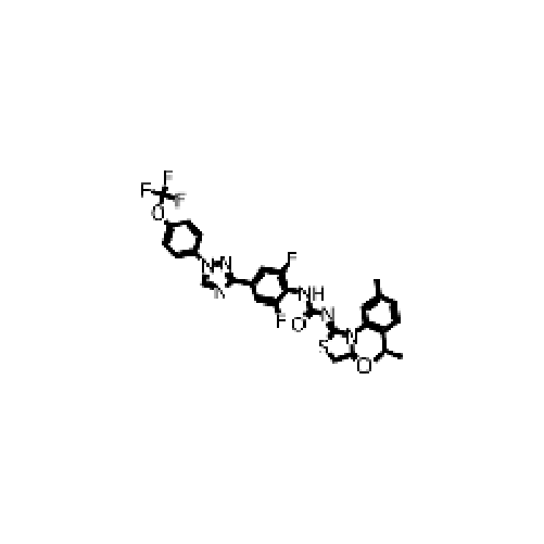 Cc1ccc(C(C)C)c(N2C(=O)CSC2=NC(=O)Nc2c(F)cc(-c3ncn(-c4ccc(OC(F)(F)F)cc4)n3)cc2F)c1